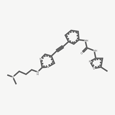 Cc1cc(NC(=O)Nc2cccc(C#Cc3cnc(NCCCN(C)C)nc3)c2)no1